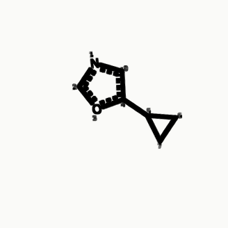 [c]1ncoc1C1CC1